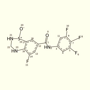 O=C(Nc1cc(F)c(F)c(F)c1)c1cc(F)c2c(c1)[S+]([O-])NCN2